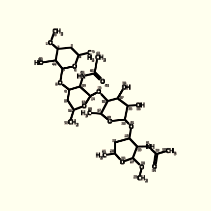 COC1CC(C)OC(OC2CC(C)OC(OC3C(C)OC(OC4CC(C)OC(OC)C4NC(C)=O)C(O)C3O)C2NC(C)=O)C1O